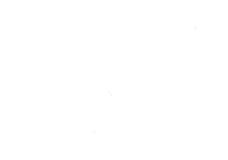 CCCC(I)OC(=O)c1ccc([C@H](O)COS(C)(=O)=O)nc1